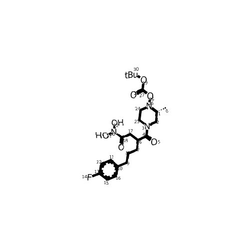 C[C@@H]1CN(C(=O)C(CCCc2ccc(F)cc2)CC(=O)N(O)O)CCN1OC(=O)OC(C)(C)C